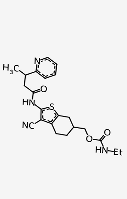 CCNC(=O)OCC1CCc2c(sc(NC(=O)CC(C)c3ccccn3)c2C#N)C1